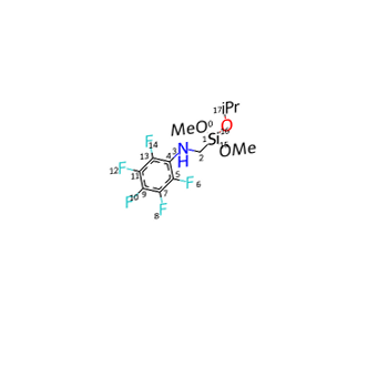 CO[Si](CNc1c(F)c(F)c(F)c(F)c1F)(OC)OC(C)C